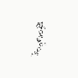 CC(C)COC(=O)N1CC=C(c2cc(Cl)cc(-c3nnc(CC(=O)N4CCC(n5c(=O)[nH]c6ncccc65)CC4)o3)c2)CC1